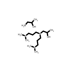 CC(O)CN.CC(O)CN(CCCN(C)C)CCCN(C)C